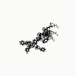 CCCCCC(C(=O)NCNC(=O)c1ccc(-c2ccc(C(=O)NC(CC(=O)OCc3ccccc3)C(=O)OCc3ccccc3)c(OCC(=O)OCc3ccccc3)c2)o1)C(CC)N(C=O)OC(=O)NC(C)(C)c1ccccc1